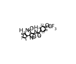 NC(=O)c1c(-c2ccsc2)noc1NC(=O)c1ccc(OC(F)(F)F)cc1